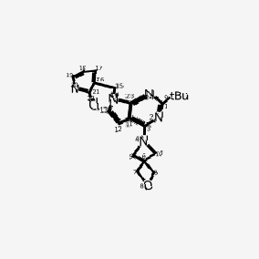 CC(C)(C)c1nc(N2CC3(COC3)C2)c2ccn(Cc3cccnc3Cl)c2n1